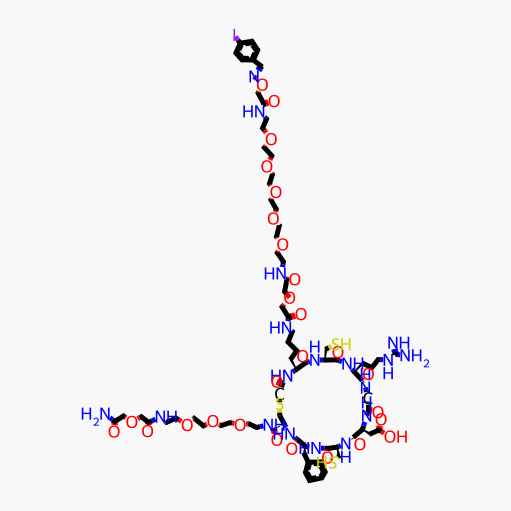 N=C(N)NCCC[C@@H]1NC(=O)[C@H](CS)NC(=O)[C@H](CCCCNC(=O)COCC(=O)NCCOCCOCCOCCOCCOCCNC(=O)CO/N=C/c2ccc(I)cc2)NC(=O)CSC[C@@H](C(=O)NCCOCCOCCOCCNC(=O)COCC(N)=O)NC(=O)[C@H](Cc2ccccc2)NC(=O)[C@H](CS)NC(=O)[C@H](CC(=O)O)NC(=O)CNC1=O